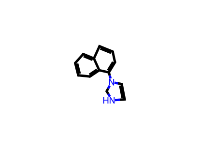 C1=CN(c2cccc3ccccc23)CN1